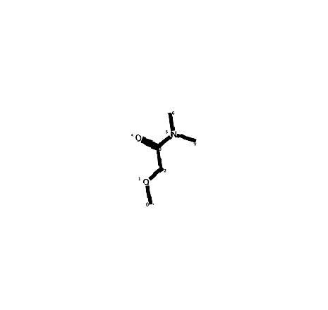 [CH2]OCC(=O)N(C)C